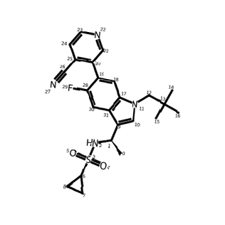 C[C@@H](NS(=O)(=O)C1CC1)c1cn(CC(C)(C)C)c2cc(-c3cnccc3C#N)c(F)cc12